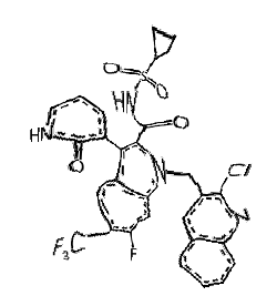 O=C(NS(=O)(=O)C1CC1)c1c(-c2ccc[nH]c2=O)c2cc(C(F)(F)F)c(F)cc2n1Cc1cc2ccccc2nc1Cl